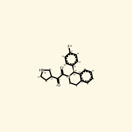 O=C(C(=O)N1CCc2ccccc2[C@@H]1c1ccc(F)cc1)C1CCNC1